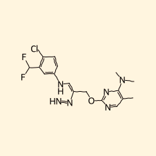 Cc1cnc(OC/C(=C/Nc2ccc(Cl)c(C(F)F)c2)N=N)nc1N(C)C